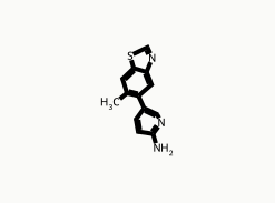 Cc1cc2scnc2cc1-c1ccc(N)nc1